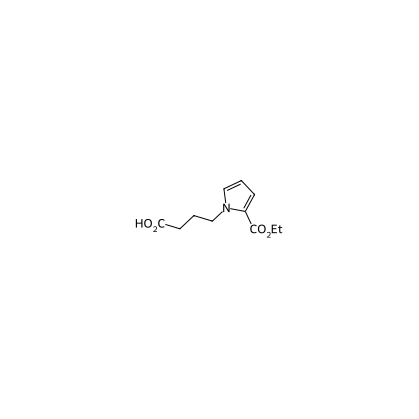 CCOC(=O)c1cccn1CCCC(=O)O